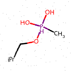 CC(C)CO[PH](C)(O)O